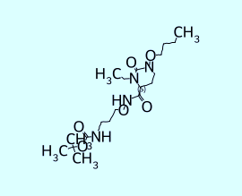 CCCCON1CC[C@@H](C(=O)NOCCCNC(=O)OC(C)(C)C)N(CC)C1=O